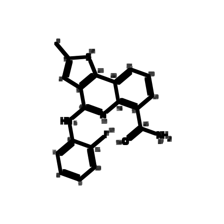 Cc1cc2c(Nc3ccccc3F)nc3c(C(N)=O)cccc3c2s1